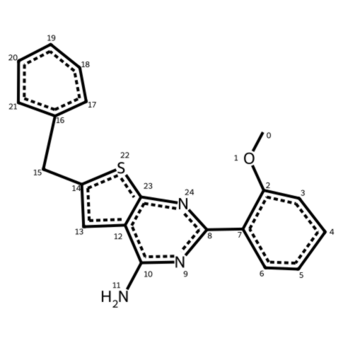 COc1ccccc1-c1nc(N)c2cc(Cc3ccccc3)sc2n1